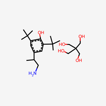 CC(CN)c1cc(C(C)(C)C)c(O)c(C(C)(C)C)c1.OCC(CO)(CO)CO